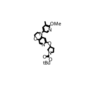 COc1ncc(N2CCOc3cnc(OC4CCN(C(=O)OC(C)(C)C)C4)cc32)cc1C